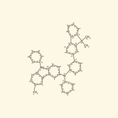 Cc1ccc2c(c1)c1cc(N(c3ccccc3)c3cccc(-c4ccc5c(c4)C(C)(C)c4ccccc4-5)c3)ccc1n2-c1ccccc1